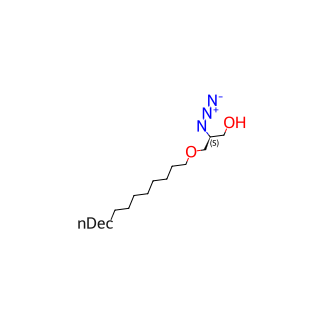 CCCCCCCCCCCCCCCCCCOC[C@H](CO)N=[N+]=[N-]